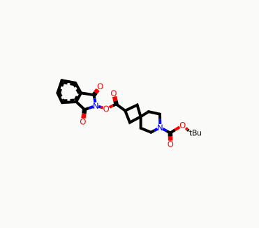 CC(C)(C)OC(=O)N1CCC2(CC1)CC(C(=O)ON1C(=O)c3ccccc3C1=O)C2